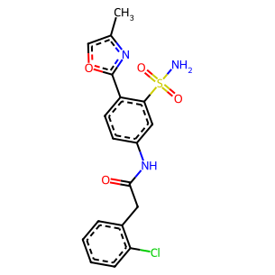 Cc1coc(-c2ccc(NC(=O)Cc3ccccc3Cl)cc2S(N)(=O)=O)n1